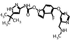 CNCc1cc(Oc2ccc3c(ccn3OC(=O)Nc3cc(C(C)(C)C)[nH]n3)c2F)ncn1